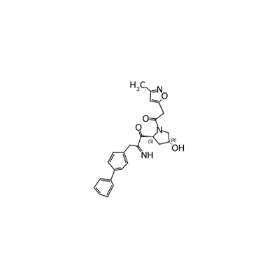 Cc1cc(CC(=O)N2C[C@H](O)C[C@H]2C(=O)C(=N)Cc2ccc(-c3ccccc3)cc2)on1